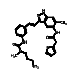 CCCCN(C)C(=O)Nc1cccc(C=Cc2n[nH]c3cc(C)c(NC(=O)Cc4cccs4)cc23)c1